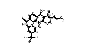 C=C(Nc1cc(C(F)(F)F)ccn1)c1ccc(C(=N)c2c(NC)ncc(/C=C/CC)c2N)cc1